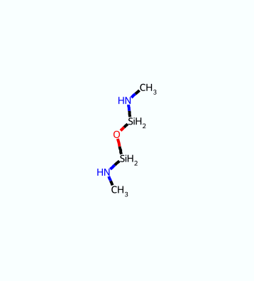 CN[SiH2]O[SiH2]NC